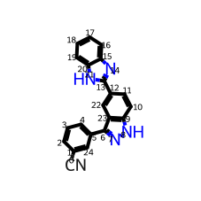 N#Cc1cccc(-c2n[nH]c3ccc(-c4nc5ccccc5[nH]4)cc23)c1